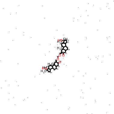 CC12C/C(=C/OCO/C=C3/CC4(C)C(CCC5C4CCC4(C)C5CCC4(C)O)CC3=O)C(=O)CC1CCC1C2CCC2(C)C1CCC2(C)O